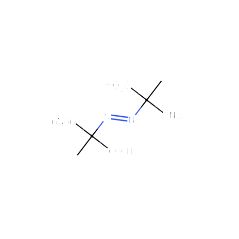 CCCCCCCCCC(C)(N=NC(C)(CCCCCCCCC)C(=O)O)C(=O)O